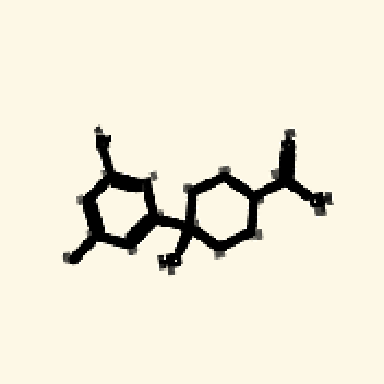 Cc1cc(Br)nc(C2(O)CCC(C(=O)O)CC2)c1